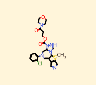 CS1=C2C(=CN(c3ccccc3Cl)CC3N2CNN3C(=O)OCCC(=O)N2CCOCC2)C2=C1C=NC2